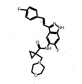 O=C(Nc1cc2c(/C=C/c3ccc(F)cc3)n[nH]c2cc1F)C1(CN2CCOCC2)CC1